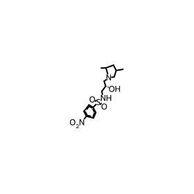 CC1CC(C)N(C[C@H](O)CNS(=O)(=O)c2ccc([N+](=O)[O-])cc2)C1